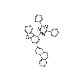 C1=CC2c3ccccc3C=CC2C=C1c1cc(-c2nc(-c3ccccc3)nc(-c3ccccc3)n2)c2c(c1)oc1ccccc12